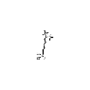 C[Si](C)(C)N(CCCCCC[Si](Cl)(Cl)Cl)[Si](C)(C)C